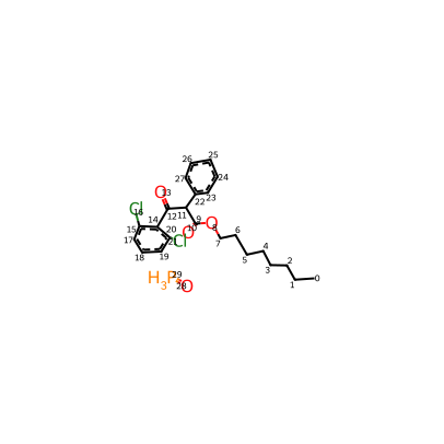 CCCCCCCCOC(=O)C(C(=O)c1c(Cl)cccc1Cl)c1ccccc1.O=[PH3]